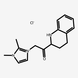 Cc1n(C)cc[n+]1CC(=O)C1CCc2ccccc2N1.[Cl-]